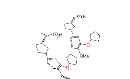 COc1ccc(C2CCC(=C(C)C(=O)O)C2)cc1OC1CCCC1.COc1ccc(C2CCC(=CC(=O)O)C2)cc1OC1CCCC1